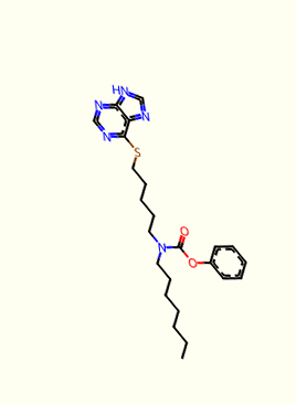 CCCCCCCN(CCCCCSc1ncnc2[nH]cnc12)C(=O)Oc1ccccc1